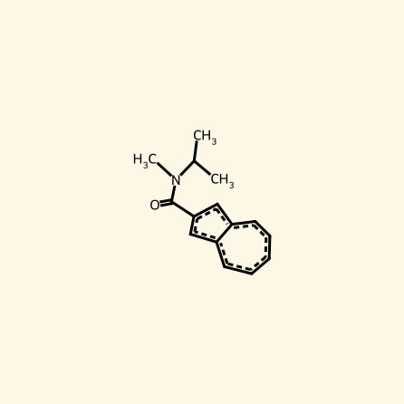 CC(C)N(C)C(=O)c1cc2cccccc-2c1